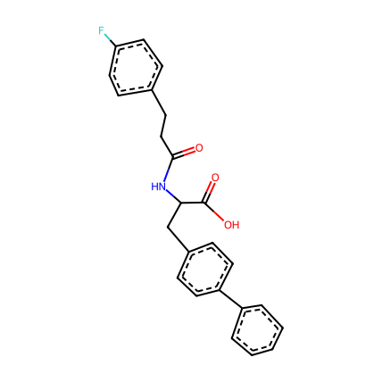 O=C(CCc1ccc(F)cc1)NC(Cc1ccc(-c2ccccc2)cc1)C(=O)O